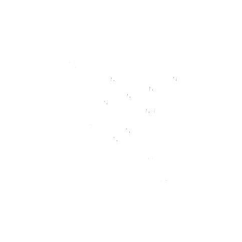 CC(C)c1nn(CCOCC(F)(F)F)c2c(Nc3ccncn3)nc(N3CCC[C@@H](C(=O)O)C3)nc12